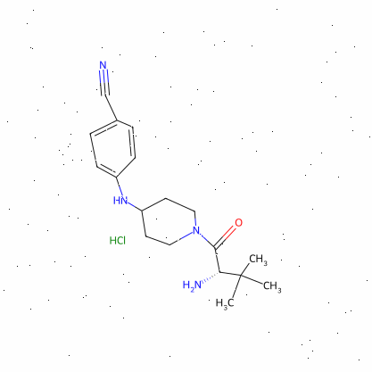 CC(C)(C)[C@H](N)C(=O)N1CCC(Nc2ccc(C#N)cc2)CC1.Cl